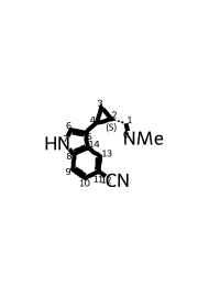 CNC[C@H]1CC1c1c[nH]c2ccc(C#N)cc12